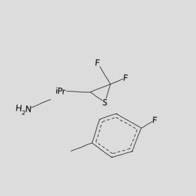 CC(C)C1SC1(F)F.CN.Cc1ccc(F)cc1